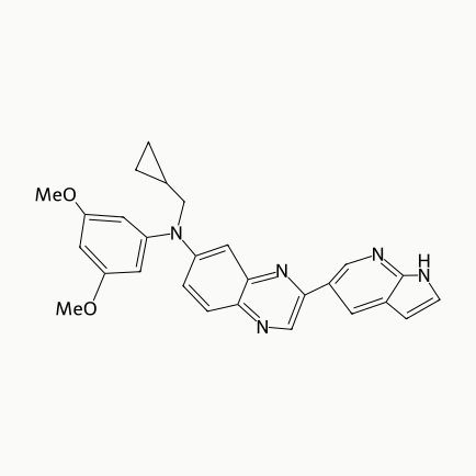 COc1cc(OC)cc(N(CC2CC2)c2ccc3ncc(-c4cnc5[nH]ccc5c4)nc3c2)c1